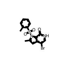 Cc1ccccc1S(=O)(=O)n1c(C)cc2c(Br)c[nH]c(=O)c21